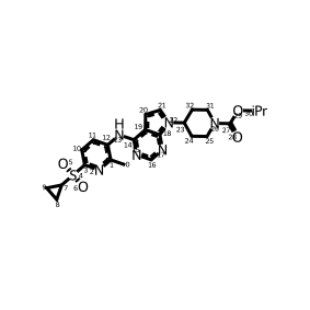 Cc1nc(S(=O)(=O)C2CC2)ccc1Nc1ncnc2c1ccn2C1CCN(C(=O)OC(C)C)CC1